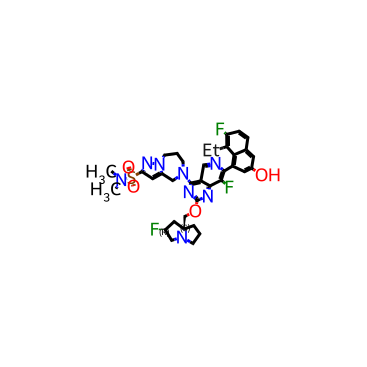 CCc1c(F)ccc2cc(O)cc(-c3ncc4c(N5CCCn6nc(S(=O)(=O)N(C)C)cc6C5)nc(OC[C@@]56CCCN5C[C@H](F)C6)nc4c3F)c12